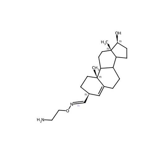 C[C@]12CC[C@H](/C=N/OCCN)C=C1CCC1C2CC[C@@]2(C)C1CC[C@@H]2O